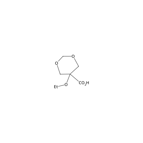 CCOC1(C(=O)O)COCOC1